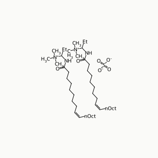 CCCCCCCC/C=C\CCCCCCCC(=O)NC(CC)[N+](C)(C)C.CCCCCCCC/C=C\CCCCCCCC(=O)NC(CC)[N+](C)(C)C.O=S(=O)([O-])[O-]